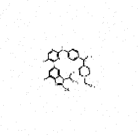 CCN1C=CC([C@H](O)c2ccc(Nc3ncc(F)c(-c4cc(F)c5nc(C)n(C(C)C)c5c4)n3)nc2)CC1